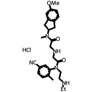 CCNCCN(C(=O)CNCC(=O)N(C)C1Cc2ccc(OC)cc2C1)c1cc(C#N)ccc1C.Cl